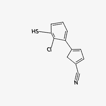 N#CC1=CC=C(c2cccc(S)c2Cl)C1